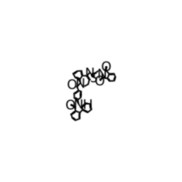 O=C(Nc1ccc(C(=O)N2CCc3sc(CN4C(=O)c5ccccc5C4=O)nc3-c3ccccc32)cc1)c1ccccc1-c1ccccc1